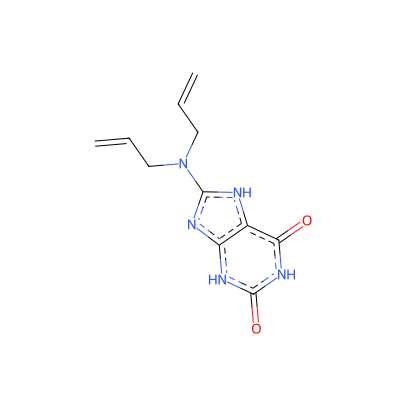 C=CCN(CC=C)c1nc2[nH]c(=O)[nH]c(=O)c2[nH]1